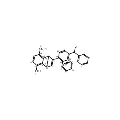 CC(c1ccccc1)c1ccc(-c2cc3ccc2c2c(C(=O)O)ccc(C(=O)O)c32)c2c3ccc(cc3)c12